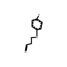 O=[C]CCOc1ccc(F)cc1